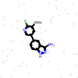 CNc1cc(-c2ccc3[nH]nc(N)c3c2)cnc1F